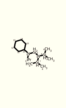 CC(C)N([SiH2]N([SiH](C)C)[SiH](C)C)C1CCCCC1